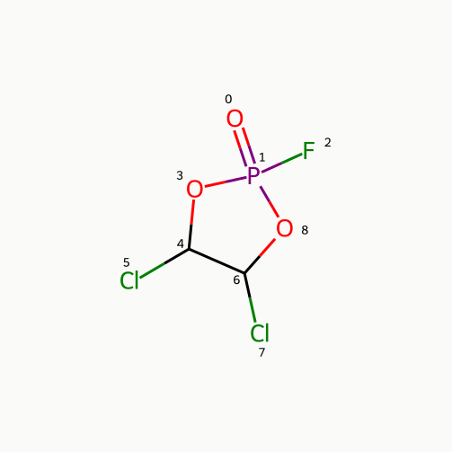 O=P1(F)OC(Cl)C(Cl)O1